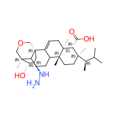 CC(C)[C@@H](C)[C@@]1(C)CC[C@]2(C)C3CCC4[C@@]5(COC[C@]4(C)[C@@H](O)[C@H](NN)C5)C3=CC[C@@]2(C)[C@@H]1C(=O)O